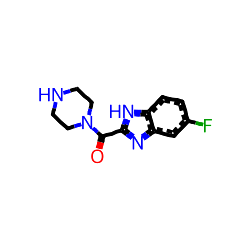 O=C(c1nc2cc(F)ccc2[nH]1)N1CCNCC1